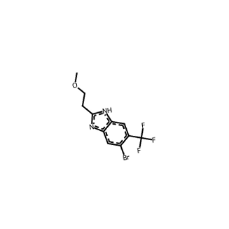 COCCc1nc2cc(Br)c(C(F)(F)F)cc2[nH]1